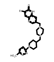 CCc1cc2ncc(CN3CCN(CC4CCN(c5ccc(C(=O)O)nn5)CC4)CC3)cc2[nH]c1=O